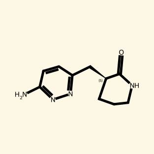 Nc1ccc(C[C@@H]2CCCNC2=O)nn1